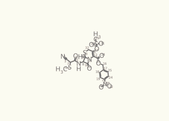 CSC(C#N)C(=O)NC1C(=O)N2C(C(=O)OCc3ccc([N+](=O)[O-])cc3)=C(OS(C)(=O)=O)CS[C@@H]12